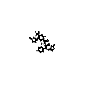 Cc1ncc2nc(-c3ccccc3)c(NC(=O)c3ccc(C(F)(F)F)c(-c4ccn(C)n4)c3)cn12